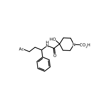 CC(=O)CCC(NC(=O)C1(O)CCN(C(=O)O)CC1)c1ccccc1